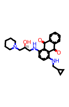 O=C1c2ccccc2C(=O)c2c(NC[C@H](O)CN3CCCCC3)ccc(NCC3CC3)c21